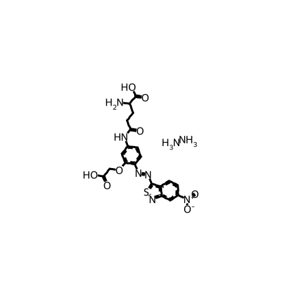 N.N.NC(CCC(=O)Nc1ccc(N=Nc2snc3cc([N+](=O)[O-])ccc23)c(OCC(=O)O)c1)C(=O)O